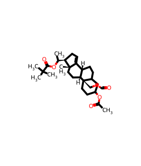 CC(=O)OC1CC[C@@]2(COC=O)C(CC[C@H]3C4=CC[C@H](C(C)OC(=O)C(C)(C)C)[C@@]4(C)CC[C@@H]32)C1